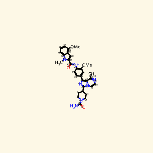 COc1cc(-c2nc(C3CCN(C(N)=O)CC3)n3ccnc(C)c23)ccc1NC(=O)c1cc2c(OC)cccc2n1C